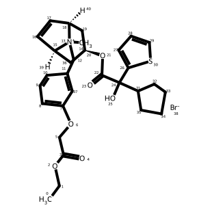 CCOC(=O)COc1cccc(C[N+]2(C)[C@@H]3C=C[C@H]2C[C@@H](OC(=O)C(O)(c2cccs2)C2CCCC2)C3)c1.[Br-]